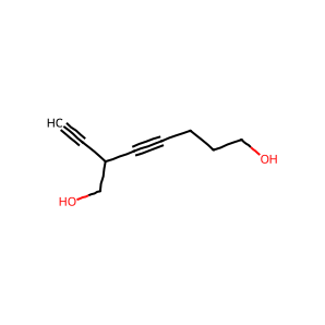 C#CC(C#CCCCO)CO